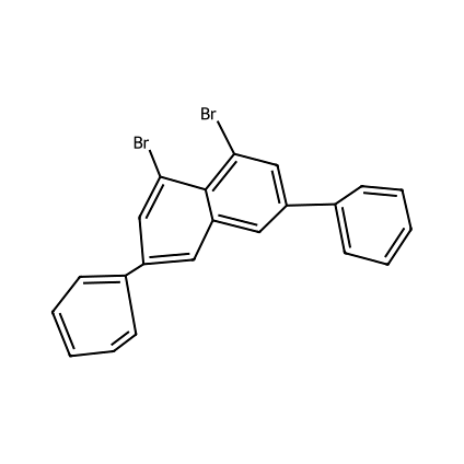 Brc1cc(-c2ccccc2)cc2cc(-c3ccccc3)cc(Br)c12